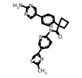 Cc1nc(-c2ccc(NC(=O)C3(c4ccc(-c5cnc(N)nc5)cc4)CCC3)nc2)cs1